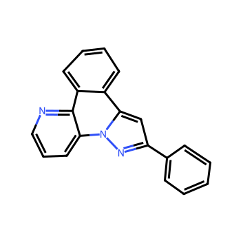 c1ccc(-c2cc3c4ccccc4c4ncccc4n3n2)cc1